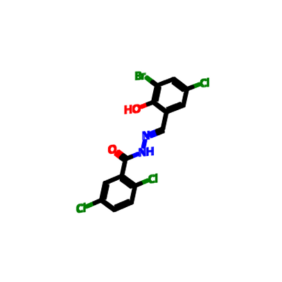 O=C(N/N=C/c1cc(Cl)cc(Br)c1O)c1cc(Cl)ccc1Cl